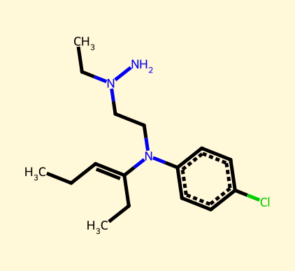 CC/C=C(\CC)N(CCN(N)CC)c1ccc(Cl)cc1